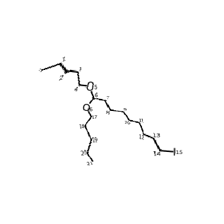 CCCCCOC(CCCCCCCCI)OCCCCC